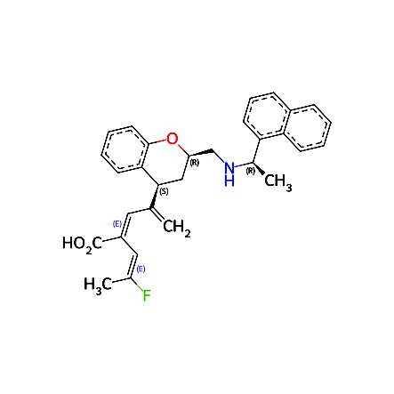 C=C(/C=C(\C=C(/C)F)C(=O)O)[C@@H]1C[C@H](CN[C@H](C)c2cccc3ccccc23)Oc2ccccc21